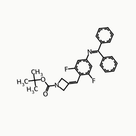 CC(C)(C)OC(=O)N1CC(=Cc2c(F)cc(N=C(c3ccccc3)c3ccccc3)cc2F)C1